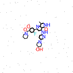 COc1cc(-c2cc(Nc3ccc(N4CCC(O)CC4)cn3)c3c(=O)[nH]cc(C)c3n2)c(F)cc1C(=O)N1CCCCC1